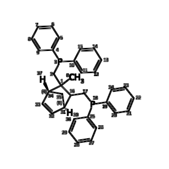 CC1(CP(c2ccccc2)c2ccccc2)C(CP(c2ccccc2)c2ccccc2)[C@H]2C=C[C@H]1C2